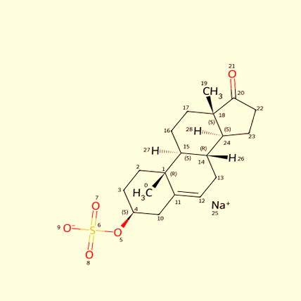 C[C@]12CC[C@H](OS(=O)(=O)[O-])CC1=CC[C@@H]1[C@@H]2CC[C@]2(C)C(=O)CC[C@@H]12.[Na+]